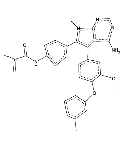 C=C(C)C(=O)Nc1ccc(-c2c(-c3ccc(Oc4cccc(C)c4)c(OC)c3)c3c(N)ncnc3n2C)cc1